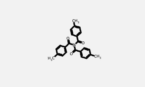 Cc1ccc([C](=O)[Bi]([C](=O)c2ccc(C)cc2)[C](=O)c2ccc(C)cc2)cc1